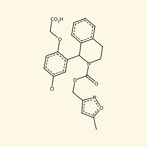 Cc1cc(COC(=O)N2CCc3ccccc3C2c2cc(Cl)ccc2OCC(=O)O)no1